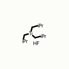 CC(C)[CH2][Ti]([CH2]C(C)C)[CH2]C(C)C.F